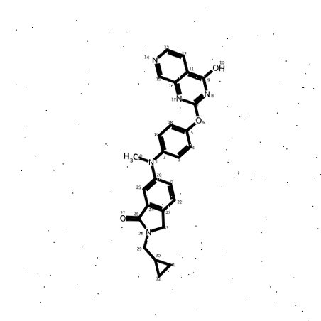 CN(c1ccc(Oc2nc(O)c3ccncc3n2)cc1)c1ccc2c(c1)C(=O)N(CC1CC1)C2